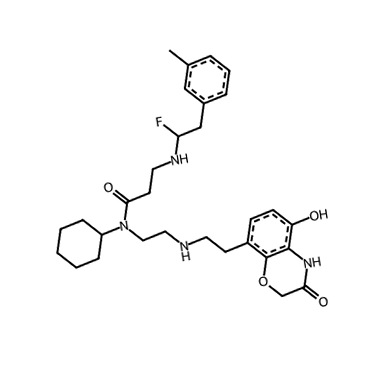 Cc1cccc(CC(F)NCCC(=O)N(CCNCCc2ccc(O)c3c2OCC(=O)N3)C2CCCCC2)c1